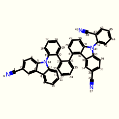 N#Cc1ccc2c(c1)c1ccccc1n2-c1ccccc1-c1ccccc1-c1cccc2c1c1cc(C#N)ccc1n2-c1ccccc1C#N